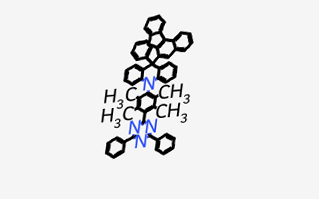 Cc1c(C)c(N2c3ccccc3C(c3ccccc3)(c3cc4ccccc4c4c3Cc3ccccc3-4)c3ccccc32)c(C)c(C)c1-c1nc(-c2ccccc2)nc(-c2ccccc2)n1